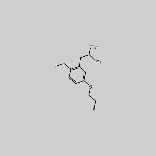 NC(Cc1cc(OCCF)ccc1CF)C(=O)O